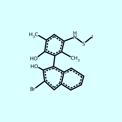 Cc1cc(NSI)c(C)c(-c2c(O)c(Br)cc3ccccc23)c1O